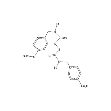 CCN(Cc1ccc(OC=O)cc1)C(=S)SSC(=S)N(CC)Cc1ccc(C(=O)O)cc1